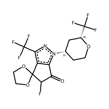 O=C1c2c(c(C(F)(F)F)nn2[C@H]2CCO[C@@H](C(F)(F)F)C2)C2(OCCO2)C1F